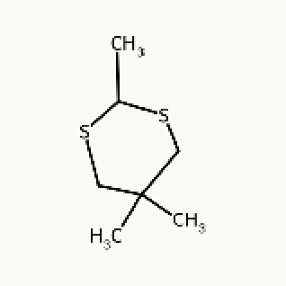 CC1SCC(C)(C)CS1